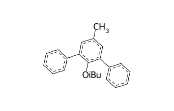 Cc1cc(-c2ccccc2)c(OCC(C)C)c(-c2ccccc2)c1